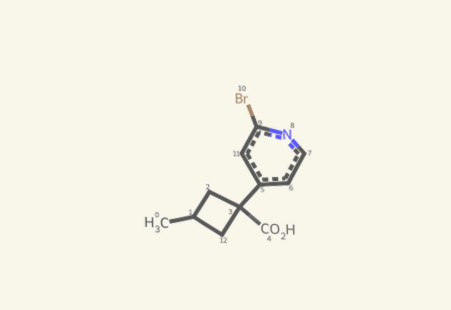 CC1CC(C(=O)O)(c2ccnc(Br)c2)C1